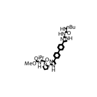 CCCCNC(=O)Nc1nc(-c2ccc(-c3ccc(-c4c[nH]c([C@@H]5CCCN5C(=O)[C@@H](NC(=O)OC)C(C)C)n4)cc3)cc2)c[nH]1